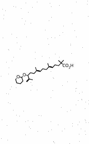 C=C(C)C(CC/C(C)=C/CC/C(C)=C/CCC(C)(C)C(=O)O)OC1CCCCO1